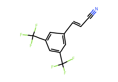 N#CC=Cc1cc(C(F)(F)F)cc(C(F)(F)F)c1